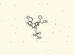 CC/C=C\c1c(C)ncnc1-c1cn(C(CC#N)C2CCCC2)nc1NCCC(=O)NO